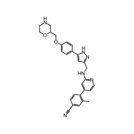 Cc1cc(C#N)ccc1-c1ccnc(NCc2cc(-c3ccc(OCC4CNCCO4)cc3)[nH]n2)c1